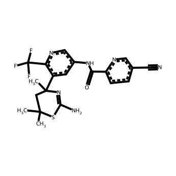 CC1(C)CC(C)(c2cc(NC(=O)c3ccc(C#N)cn3)cnc2C(F)(F)F)N=C(N)S1